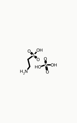 NCCS(=O)(=O)O.O=S(=O)(O)O